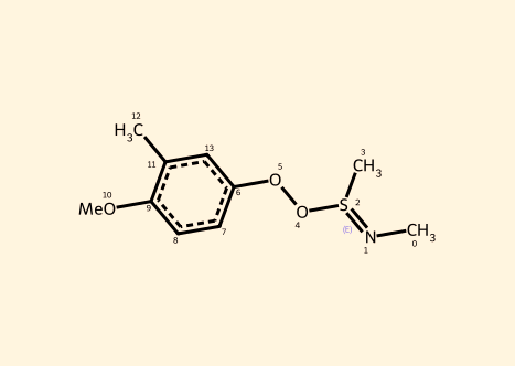 C/N=S(\C)OOc1ccc(OC)c(C)c1